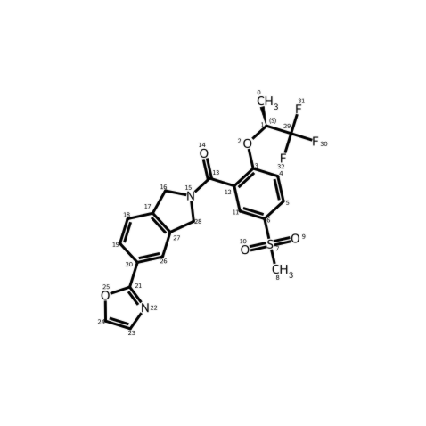 C[C@H](Oc1ccc(S(C)(=O)=O)cc1C(=O)N1Cc2ccc(-c3ncco3)cc2C1)C(F)(F)F